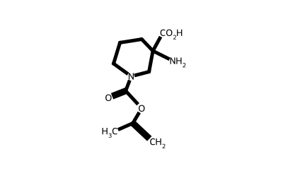 C=C(C)OC(=O)N1CCCC(N)(C(=O)O)C1